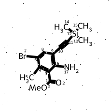 COC(=O)c1c(C)c(Br)cc(C#C[Si](C)(C)C)c1N